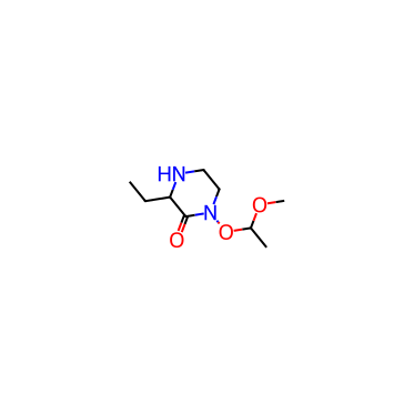 CCC1NCCN(OC(C)OC)C1=O